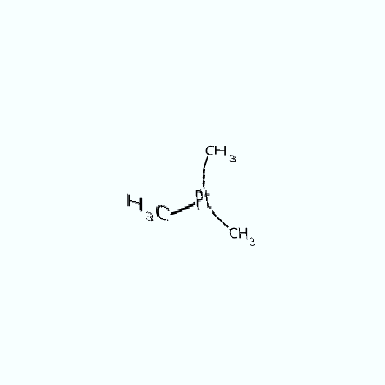 [CH3][Pt]([CH3])[CH3]